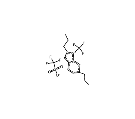 CCCc1ccc2cc(CCC)[s+](C(F)(F)F)c2c1.O=S(=O)([O-])C(F)(F)F